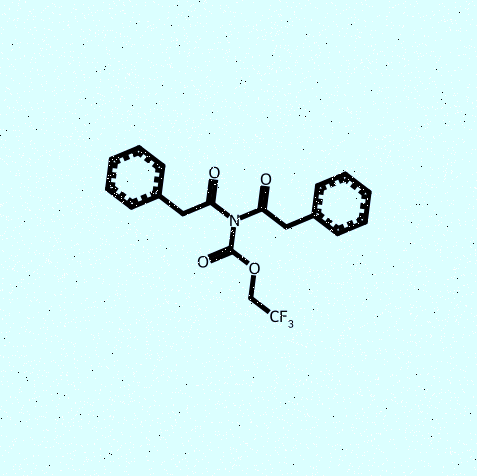 O=C(Cc1ccccc1)N(C(=O)Cc1ccccc1)C(=O)OCC(F)(F)F